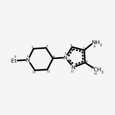 CCN1CCC(n2cc(N)c(C)n2)CC1